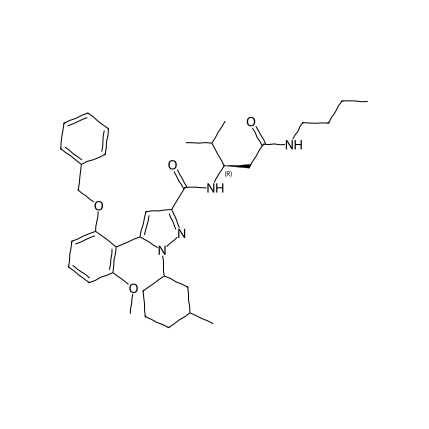 CCCCNC(=O)C[C@@H](NC(=O)c1cc(-c2c(OC)cccc2OCc2ccccc2)n(C2CCCC(C)C2)n1)C(C)C